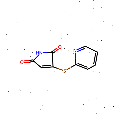 O=C1C=C(Sc2ccccn2)C(=O)N1